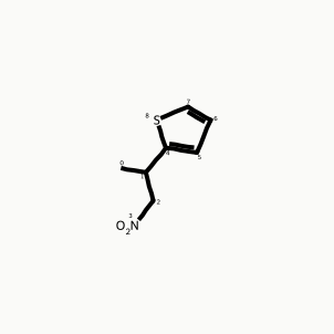 CC(C[N+](=O)[O-])c1cccs1